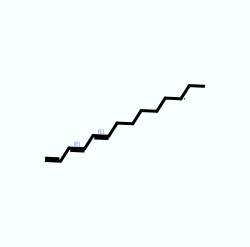 C=C/C=C/C=C/CCCCC[CH]CC